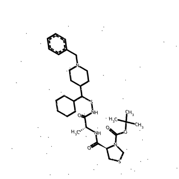 C[C@@H](NC(=O)[C@@H]1CSCN1C(=O)OC(C)(C)C)C(=O)NSC(C1CCCCC1)C1CCN(Cc2ccccc2)CC1